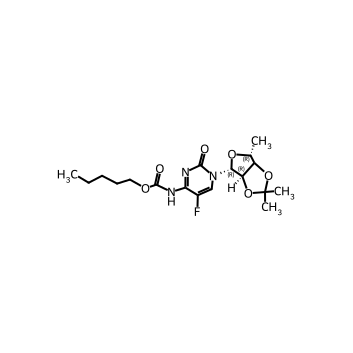 CCCCCOC(=O)Nc1nc(=O)n([C@@H]2O[C@H](C)C3OC(C)(C)O[C@H]32)cc1F